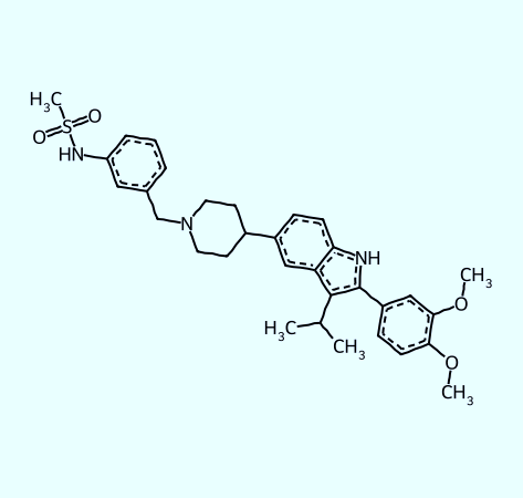 COc1ccc(-c2[nH]c3ccc(C4CCN(Cc5cccc(NS(C)(=O)=O)c5)CC4)cc3c2C(C)C)cc1OC